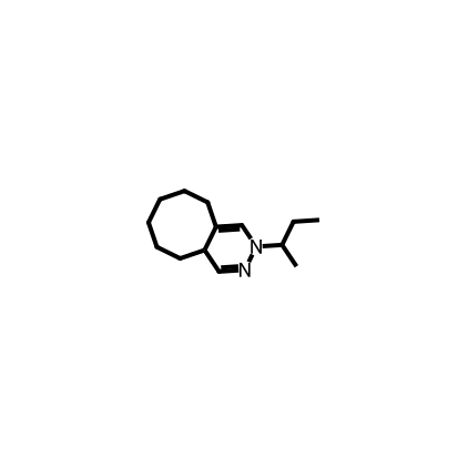 CCC(C)N1C=C2CCCCCCC2C=N1